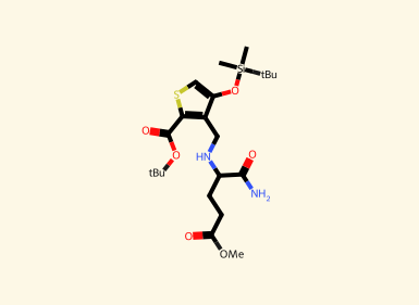 COC(=O)CCC(NCc1c(O[Si](C)(C)C(C)(C)C)csc1C(=O)OC(C)(C)C)C(N)=O